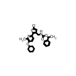 Cc1nc(-c2sc(Cl)cc2CNC(=O)OC(C)c2ccccc2)ccc1OC1CCCCC1